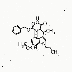 CCCn1cc(C(C)C(NC(=O)OCc2ccccc2)C(=O)O)c2ccccc21.COC